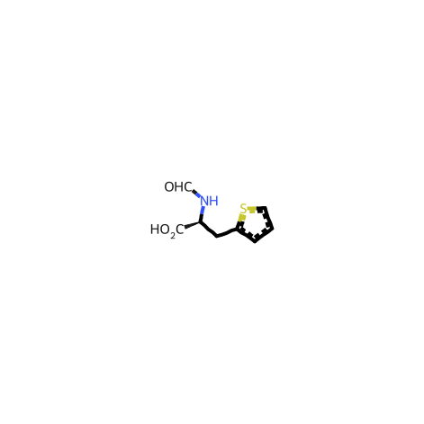 O=CN[C@@H](Cc1cccs1)C(=O)O